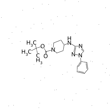 CC(C)(C)OC(=O)N1CCC(Nc2ncn(-c3ccccc3)n2)CC1